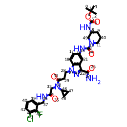 CC(C)(C)OC(=O)N[C@@H]1CCCN(C(=O)Nc2ccc3c(c2)c(C(N)=O)nn3CCC(=O)N(CC(=O)NCc2cccc(Cl)c2F)C2CC2)C1